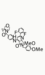 COc1ccc(CN2Cc3nc(-c4c(F)cccc4F)cc(Nc4ccc(C(=O)N5CCOCC56CC6)cc4)c3C2=O)c(OC)c1